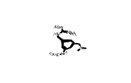 CNC(=N)Nc1cc(CN(C)C)cc(NC=O)c1